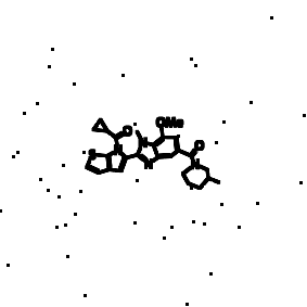 COc1cc(C(=O)N2CCCC(C)C2)cc2nc(-c3cc4ccsc4n3C(=O)C3CC3)n(C)c12